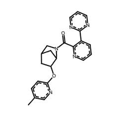 Cc1ccc(OC2CC3CC2N(C(=O)c2ncccc2-c2ncccn2)C3)nc1